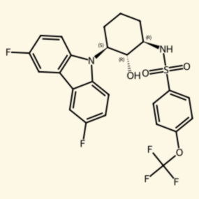 O=S(=O)(N[C@@H]1CCC[C@H](n2c3ccc(F)cc3c3cc(F)ccc32)[C@H]1O)c1ccc(OC(F)(F)F)cc1